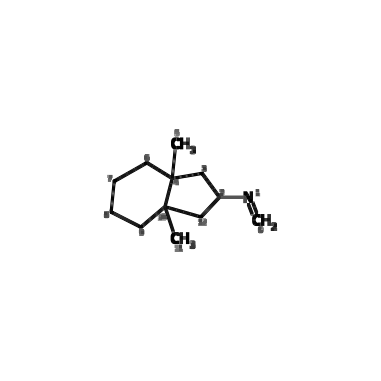 C=NC1CC2(C)CCCCC2(C)C1